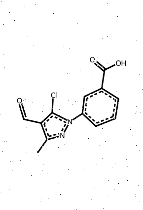 Cc1nn(-c2cccc(C(=O)O)c2)c(Cl)c1C=O